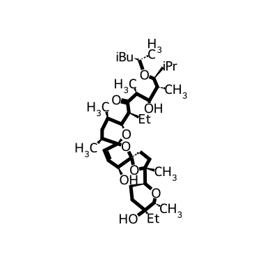 CC[C@H](C(=O)[C@H](C)[C@H](O)[C@@H](C)[C@@H](O[C@@H](C)[C@@H](C)CC)C(C)C)[C@@H]1O[C@@]2(C=C[C@H](O)[C@@]3(CC[C@](C)([C@@H]4CC[C@@](O)(CC)[C@@H](C)O4)O3)O2)[C@@H](C)C[C@H]1C